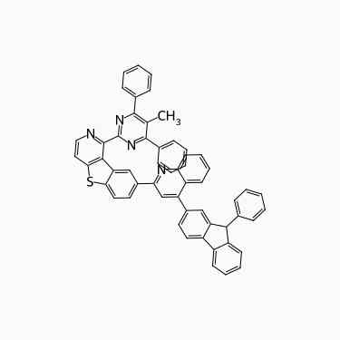 Cc1c(-c2ccccc2)nc(-c2nccc3sc4ccc(-c5cc(-c6ccc7c(c6)C(c6ccccc6)c6ccccc6-7)c6ccccc6n5)cc4c23)nc1-c1ccccc1